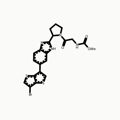 COC(=O)NCC(=O)N1CCCC1c1nc2ccc(-c3csc4c(Br)csc34)cc2[nH]1